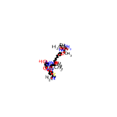 Cc1ncsc1-c1ccc(CNC(=O)[C@@H]2C[C@@H](O)CN2C(=O)[C@@H](NC(=O)CCCCCc2ccc(CO[C@H](C)[C@H](CCC(N)=O)NC(=O)OC(C)(C)C)cc2)C(C)(C)C)cc1